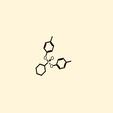 Cc1ccc(OP(=O)(Oc2ccc(C)cc2)C2CCCCC2)cc1